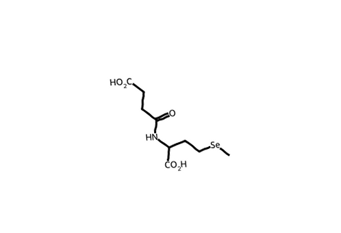 C[Se]CCC(NC(=O)CCC(=O)O)C(=O)O